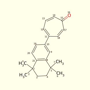 CC1(C)CCC(C)(C)c2cc(-c3cccc(=O)cc3)ccc21